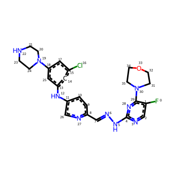 Fc1cnc(N/N=C/c2ccc(Nc3cc(Cl)cc(N4CCNCC4)c3)cn2)nc1N1CCOCC1